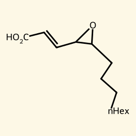 CCCCCCCCCC1OC1C=CC(=O)O